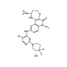 Cn1c(=O)c2c(c3cc(Nc4nc(N5CCC(F)(F)[C@H](O)C5)ncc4Cl)ccc31)N[C@@H](C1CC1)CCO2